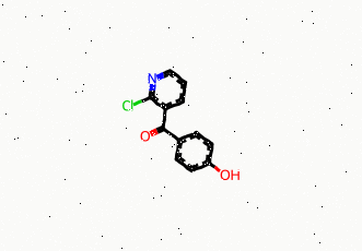 O=C(c1ccc(O)cc1)c1cccnc1Cl